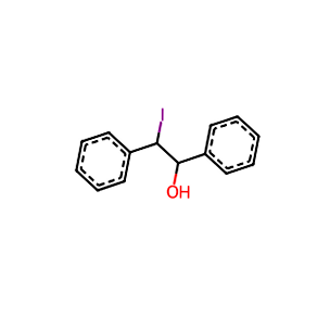 OC(c1ccccc1)C(I)c1ccccc1